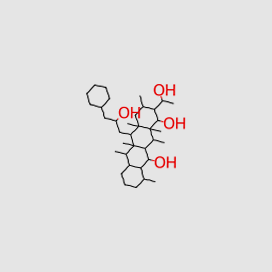 CC(O)C1C(C)CC2(C)C(CC(O)CC3CCCCC3)C3(C)C(C)C4CCCC(C)C4C(O)C3C(C)C2(C)C1O